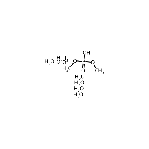 COP(=O)(O)OC.O.O.O.O.O.O.O